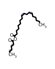 C/C=C/C=C/C(=O)OC(=O)CCCCCCC/C=C\C/C=C\CCCCC